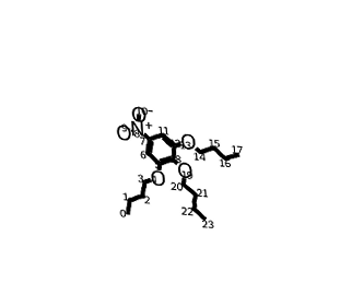 CCCCOc1cc([N+](=O)[O-])cc(OCCCC)c1OCCCC